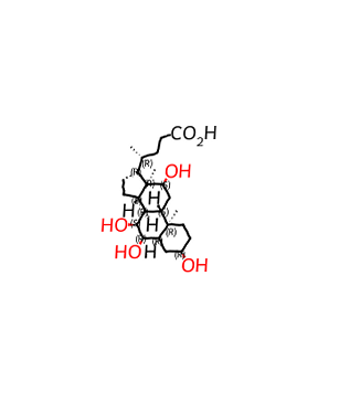 C[C@H](CCC(=O)O)[C@H]1CC[C@H]2[C@@H]3[C@H](O)[C@H](O)[C@@H]4C[C@H](O)CC[C@]4(C)[C@H]3C[C@H](O)[C@]12C